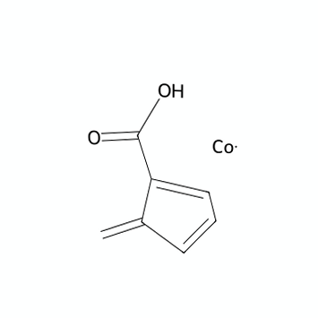 C=C1C=CC=C1C(=O)O.[Co]